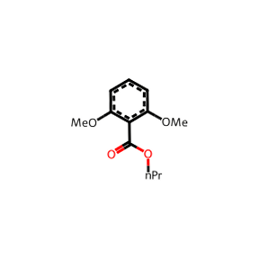 CCCOC(=O)c1c(OC)cccc1OC